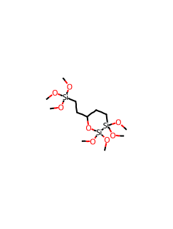 CO[Si](CCC1CC[Si](OC)(OC)[Si](OC)(OC)O1)(OC)OC